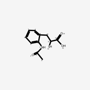 CC(=O)Nc1ccccc1CC(S)C(=O)O